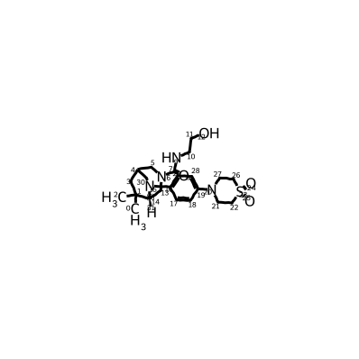 CC1(C)CC2CN(C(=O)NCCO)C[C@H]1N(c1ccc(N3CCS(=O)(=O)CC3)cc1)C2